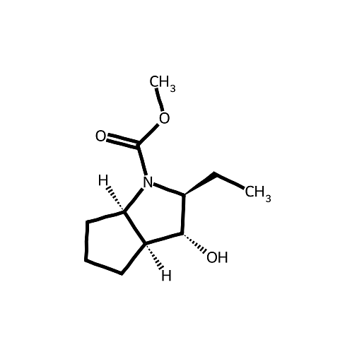 CC[C@H]1[C@H](O)[C@H]2CCC[C@H]2N1C(=O)OC